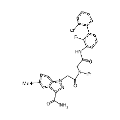 CNc1ccc2c(c1)c(C(N)=O)nn2CC(=O)N(CC(=O)Nc1cccc(-c2ccccc2Cl)c1F)C(C)C